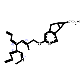 C=C/C=C(\C=N/C)C(/C=C(\C)COc1cc2c(cn1)C1C(C2)C1C(=O)O)=C/C=C